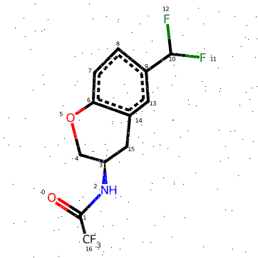 O=C(N[C@H]1COc2ccc(C(F)F)cc2C1)C(F)(F)F